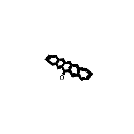 O=C1c2cc3ccccc3cc2C=c2cc3c(cc21)=CCC=C3